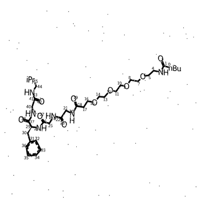 CCCCC(=O)NCCOCCOCCOCCOCCC(=O)NCC(=O)NCC(=O)N[C@@H](Cc1ccccc1)C(=O)NCC(=O)NCC(C)C